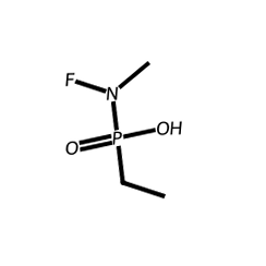 CCP(=O)(O)N(C)F